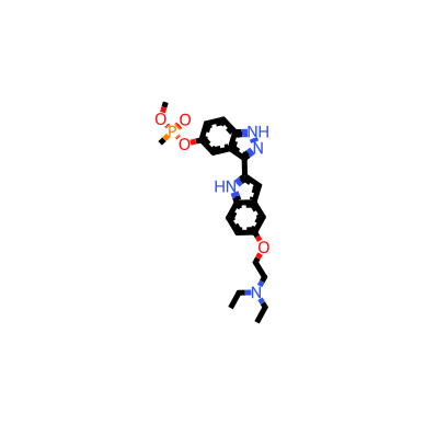 CCN(CC)CCOc1ccc2[nH]c(-c3n[nH]c4ccc(OP(C)(=O)OC)cc34)cc2c1